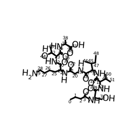 CCCC(=O)NC(CO)C(=O)NC(C(=O)NC(C(=O)NCC(=O)NC(CCCCN)C(=O)NC(C(=O)NC(C)C(=O)O)C(C)O)C(C)CC)C(C)C